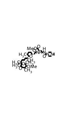 COC(=O)[C@H](CCNC(=O)N1CCN(I)CC1)NC(=O)C[C@H]1CC[C@H](C)[C@@H](/C(C)=C/C=C/[C@@H](C)C[C@@]2(C)O[C@@H]2[C@H](C)[C@@H](OC)[C@@H](C)O)O1